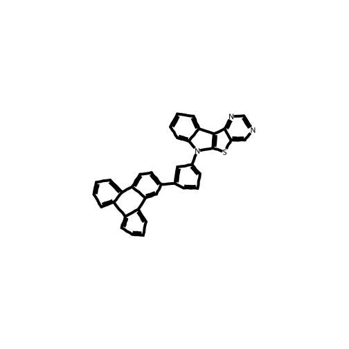 c1cc(-c2ccc3c4ccccc4c4ccccc4c3c2)cc(-n2c3ccccc3c3c4ncncc4sc32)c1